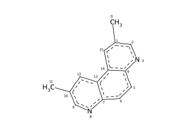 Cc1cnc2ccc3ncc(C)cc3c2c1